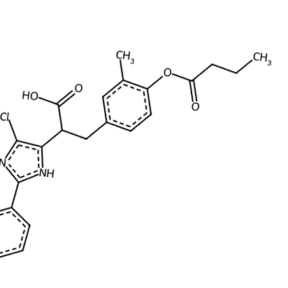 CCCC(=O)Oc1ccc(CC(C(=O)O)c2[nH]c(-c3ccccc3)nc2Cl)cc1C